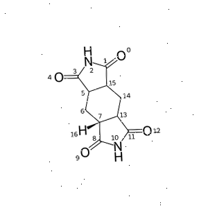 O=C1NC(=O)C2C[C@H]3C(=O)NC(=O)C3CC12